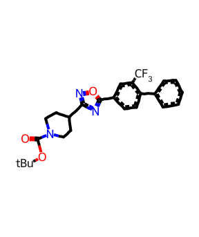 CC(C)(C)OC(=O)N1CCC(c2noc(-c3ccc(-c4ccccc4)c(C(F)(F)F)c3)n2)CC1